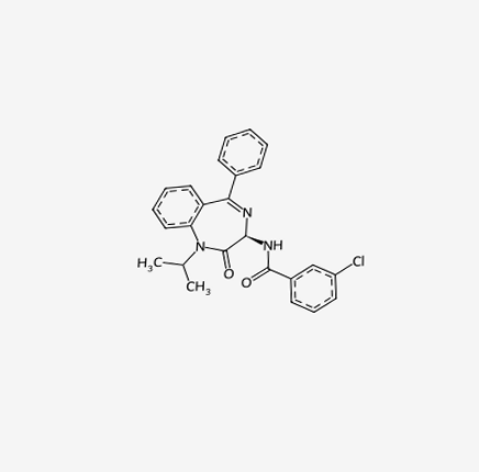 CC(C)N1C(=O)[C@H](NC(=O)c2cccc(Cl)c2)N=C(c2ccccc2)c2ccccc21